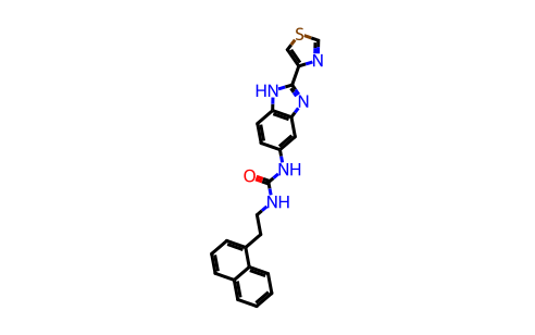 O=C(NCCc1cccc2ccccc12)Nc1ccc2[nH]c(-c3cscn3)nc2c1